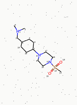 CN(C)CC1CCC(N2CCN(S(C)(=O)=O)CC2)CC1